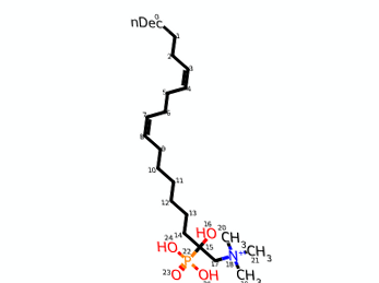 CCCCCCCCCCCC/C=C\CC/C=C\CCCCCCC(O)(C[N+](C)(C)C)P(=O)(O)O